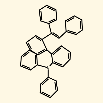 C(=C(/c1ccccc1)c1ccccc1-c1ccccc1N(c1ccccc1)c1ccccc1)/c1ccccc1